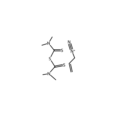 C=CC[N+]#N.CN(C)C(=S)SC(=S)N(C)C